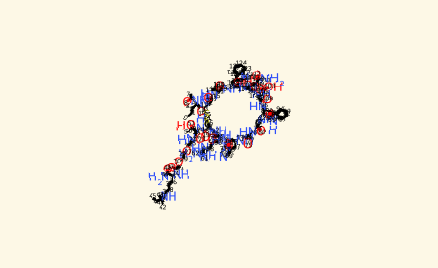 CC[C@H](C)[C@H](NC(C)=O)C(=O)N[C@H]1CSSC[C@@H](C(=O)N[C@H](C(=O)NCCOCCOCC(=O)N[C@@H](CCCCNC(C)(C)CC)C(N)=O)[C@@H](C)O)NC(=O)[C@H](CCCNC(=N)N)NC(=O)[C@H](Cc2cnc[nH]2)NC(=O)[C@H](C)NC(=O)CNC(=O)[C@H](Cc2c[nH]c3ccccc23)NC(=O)[C@H](CC(=O)O)NC(=O)C(CCC(N)=O)NC(O)[C@H](Cc2cn(C)c3ccccc23)NC(=O)[C@H](C(C)C)NC1=O